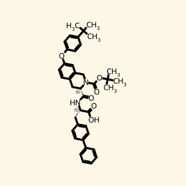 CC(C)(C)OC(=O)N1Cc2cc(Oc3ccc(C(C)(C)C)cc3)ccc2C[C@H]1C(=O)N[C@@H](Cc1ccc(-c2ccccc2)cc1)C(=O)O